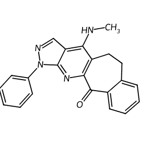 CNc1c2c(nc3c1cnn3-c1ccccc1)C(=O)c1ccccc1CC2